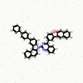 c1ccc(-c2ccc(-c3ccc4c(c3)c3c5ccccc5ccc3n4-c3nc(-c4ccc5oc6cc7ccccc7cc6c5c4)c4ccccc4n3)cc2)cc1